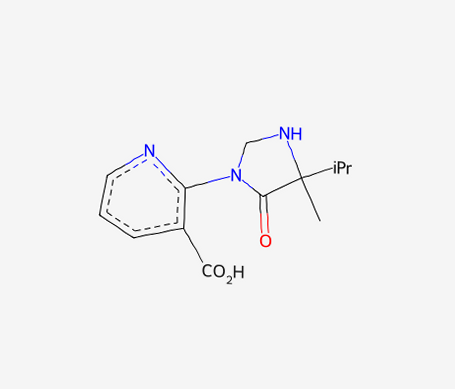 CC(C)C1(C)NCN(c2ncccc2C(=O)O)C1=O